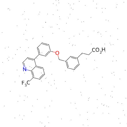 O=C(O)CCc1cccc(COc2cccc(-c3ccnc4c(C(F)(F)F)cccc34)c2)c1